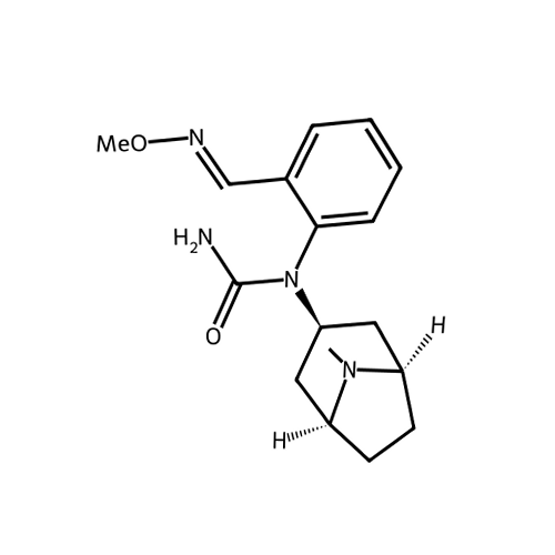 CO/N=C/c1ccccc1N(C(N)=O)[C@H]1C[C@H]2CC[C@@H](C1)N2C